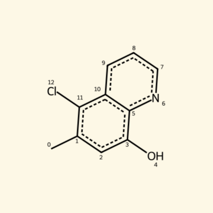 Cc1cc(O)c2ncccc2c1Cl